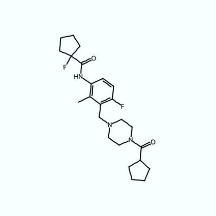 Cc1c(NC(=O)C2(F)CCCC2)ccc(F)c1CN1CCN(C(=O)C2CCCC2)CC1